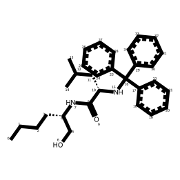 CCCC[C@@H](CO)NC(=O)[C@H](CC(C)C)NC(c1ccccc1)(c1ccccc1)c1ccccc1